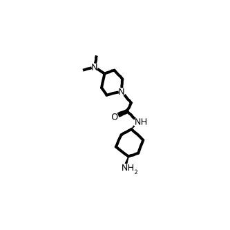 CN(C)C1CCN(CC(=O)N[C@H]2CC[C@H](N)CC2)CC1